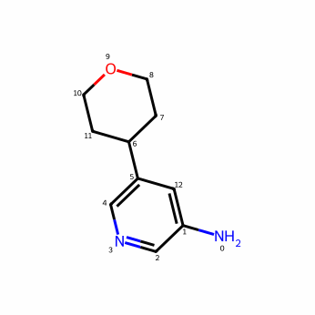 Nc1cncc(C2CCOCC2)c1